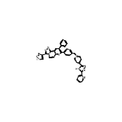 c1ccc(-c2cc3c(ccn4c(-c5c[nH]nn5)nnc34)nc2-c2ccc(CN3CCC(c4nnc(-c5ccccn5)[nH]4)CC3)cc2)cc1